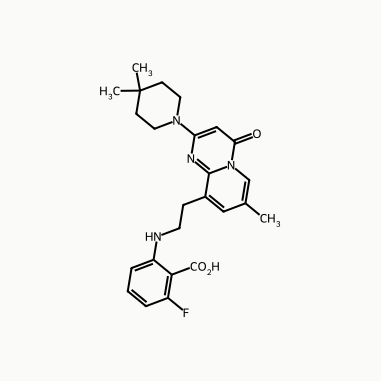 Cc1cc(CCNc2cccc(F)c2C(=O)O)c2nc(N3CCC(C)(C)CC3)cc(=O)n2c1